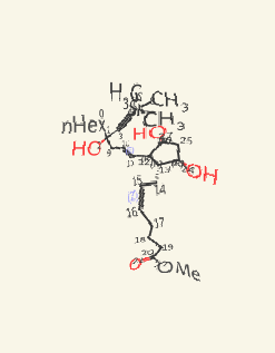 CCCCCCC(O)(C#C[Si](C)(C)C)C/C=C/[C@@H]1[C@@H](C/C=C\CCCC(=O)OC)[C@H](O)C[C@H]1O